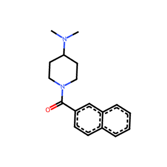 CN(C)C1CCN(C(=O)c2ccc3ccccc3c2)CC1